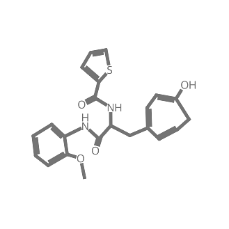 COc1ccccc1NC(=O)C(CC1=CC=C(O)CC=C1)NC(=O)c1cccs1